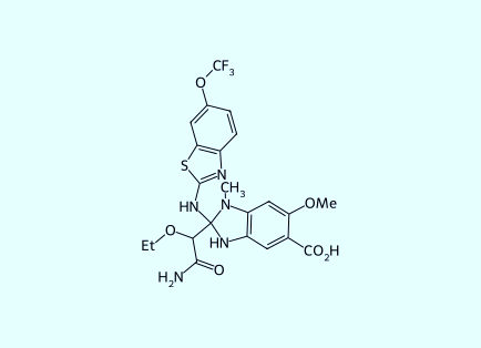 CCOC(C(N)=O)C1(Nc2nc3ccc(OC(F)(F)F)cc3s2)Nc2cc(C(=O)O)c(OC)cc2N1C